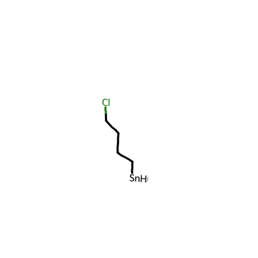 ClCCC[CH2][SnH]